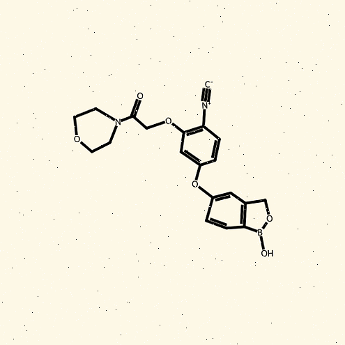 [C-]#[N+]c1ccc(Oc2ccc3c(c2)COB3O)cc1OCC(=O)N1CCOCC1